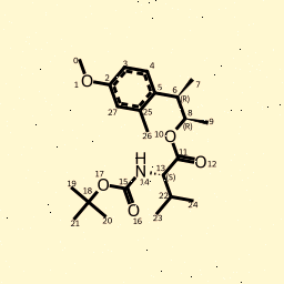 COc1ccc([C@@H](C)[C@@H](C)OC(=O)[C@@H](NC(=O)OC(C)(C)C)C(C)C)c(C)c1